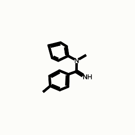 Cc1ccc(C(=N)N(C)c2ccccc2)cc1